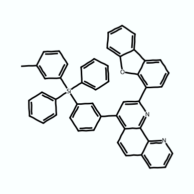 Cc1cccc([Si](c2ccccc2)(c2ccccc2)c2cccc(-c3cc(-c4cccc5c4oc4ccccc45)nc4c3ccc3cccnc34)c2)c1